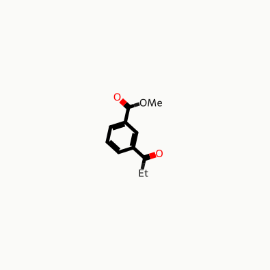 [CH2]CC(=O)c1cccc(C(=O)OC)c1